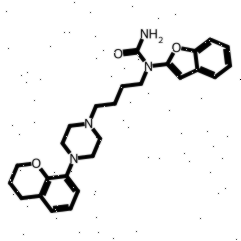 NC(=O)N(CCCCN1CCN(c2cccc3c2OCCC3)CC1)c1cc2ccccc2o1